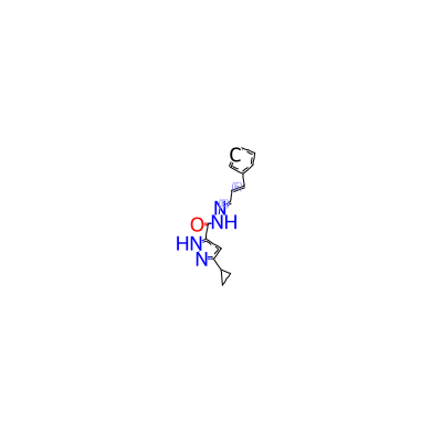 O=C(N/N=C/C=C/c1ccccc1)c1cc(C2CC2)n[nH]1